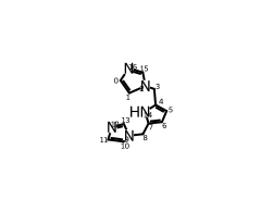 c1cn(Cc2ccc(Cn3ccnc3)[nH]2)cn1